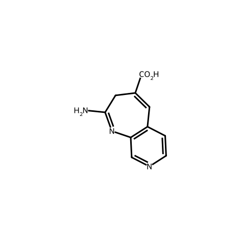 NC1=Nc2cnccc2C=C(C(=O)O)C1